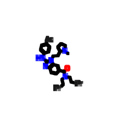 CC(=O)c1ccc(Nc2nc3ccc(C(=O)N(CCC(C)C)CCC(C)C)cc3n2CCC2CCCN2C)cc1